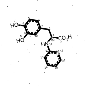 O=C(O)[C@H](Cc1ccc(O)c(O)c1)Nc1ccccn1